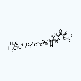 CC(C)OCCOCCOCCOCCNc1ccc(C(=O)C(C)C)nn1